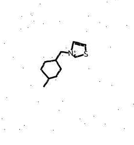 CC1CCC(C[n+]2ccsc2)CC1